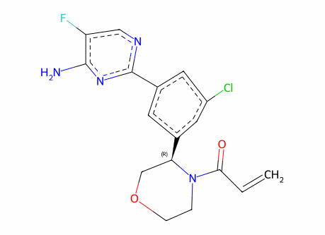 C=CC(=O)N1CCOC[C@H]1c1cc(Cl)cc(-c2ncc(F)c(N)n2)c1